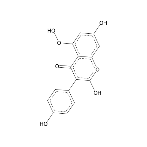 O=c1c(-c2ccc(O)cc2)c(O)oc2cc(O)cc(OO)c12